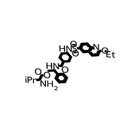 CCOc1ccc2cc(S(=O)(=O)NC3CCC(C(=O)NC(COC(=O)C(N)C(C)C)c4ccccc4)CC3)ccc2n1